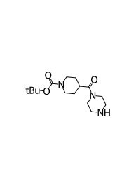 CC(C)(C)OC(=O)N1CCC(C(=O)N2CCNCC2)CC1